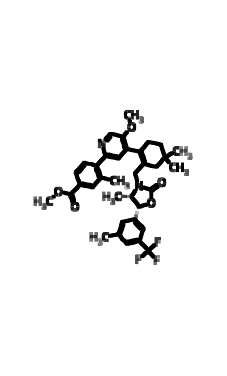 COC(=O)c1ccc(-c2cc(C3=C(CN4C(=O)O[C@H](c5cc(C)cc(C(F)(F)F)c5)[C@@H]4C)CC(C)(C)CC3)c(OC)cn2)c(C)c1